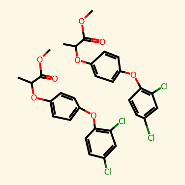 COC(=O)C(C)Oc1ccc(Oc2ccc(Cl)cc2Cl)cc1.COC(=O)C(C)Oc1ccc(Oc2ccc(Cl)cc2Cl)cc1